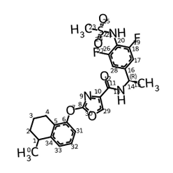 CC1CCCc2c(Oc3nc(C(=O)N[C@H](C)c4cc(F)c(NS(C)(=O)=O)c(F)c4)co3)cccc21